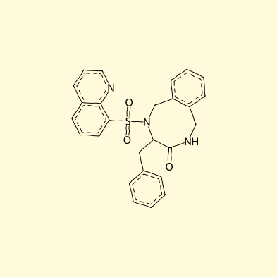 O=C1NCc2ccccc2CN(S(=O)(=O)c2cccc3cccnc23)C1Cc1ccccc1